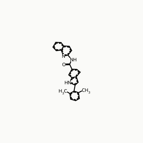 Cc1cccc(C)c1-c1cc2ccc(C(=O)Nc3ccc4ccccc4n3)cc2[nH]1